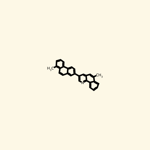 Cc1cccc2c1ccc1cc(-c3cnc4c(c3)cc(C)c3ccccc34)ccc12